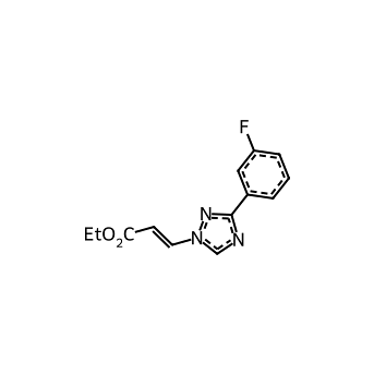 CCOC(=O)C=Cn1cnc(-c2cccc(F)c2)n1